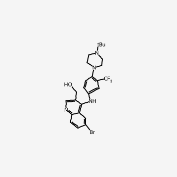 CC(C)(C)N1CCN(c2ccc(Nc3c(CO)cnc4ccc(Br)cc34)cc2C(F)(F)F)CC1